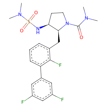 CN(C)C(=O)N1CC[C@H](NS(=O)(=O)N(C)C)[C@@H]1Cc1cccc(-c2cc(F)cc(F)c2)c1F